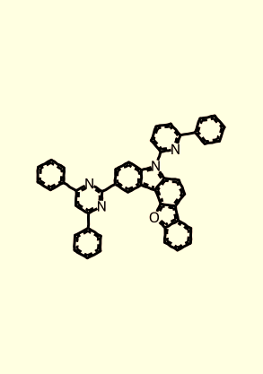 c1ccc(-c2cccc(-n3c4ccc(-c5nc(-c6ccccc6)cc(-c6ccccc6)n5)cc4c4c5oc6ccccc6c5ccc43)n2)cc1